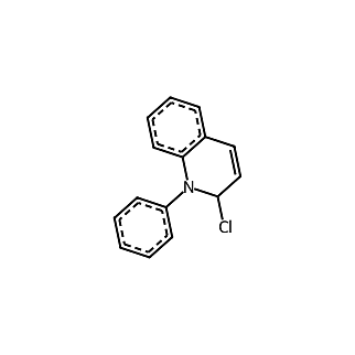 ClC1C=Cc2ccccc2N1c1ccccc1